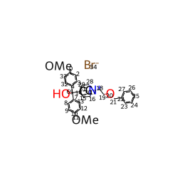 COc1ccc(C(O)(c2ccc(OC)cc2)C23CC[N+](CCOCc4ccccc4)(CC2)CC3)cc1.[Br-]